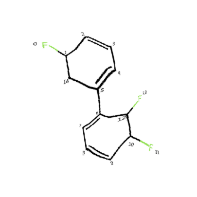 FC1C=CC=C(C2=CC=CC(F)C2F)C1